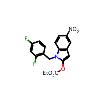 CCOC(=O)Oc1cc2cc([N+](=O)[O-])ccc2n1Cc1ccc(F)cc1F